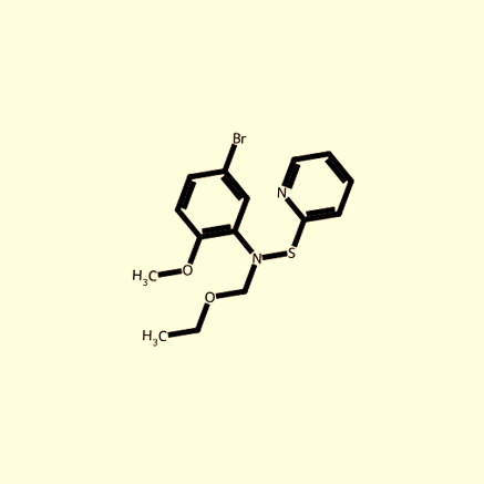 CCOCN(Sc1ccccn1)c1cc(Br)ccc1OC